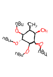 CCCCOC1C(OCCCC)[C@H](OCCCC)C(OCCCC)C(C)[C@H]1O